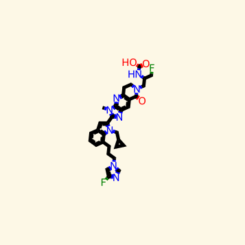 Cn1c(-c2cc3cccc(CCCn4cnc(F)c4)c3n2CC2CC2)nc2cc3c(nc21)CCN(CC(CF)NC(=O)O)C3=O